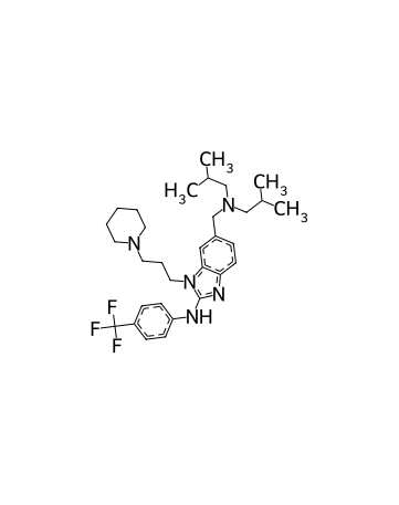 CC(C)CN(Cc1ccc2nc(Nc3ccc(C(F)(F)F)cc3)n(CCCN3CCCCC3)c2c1)CC(C)C